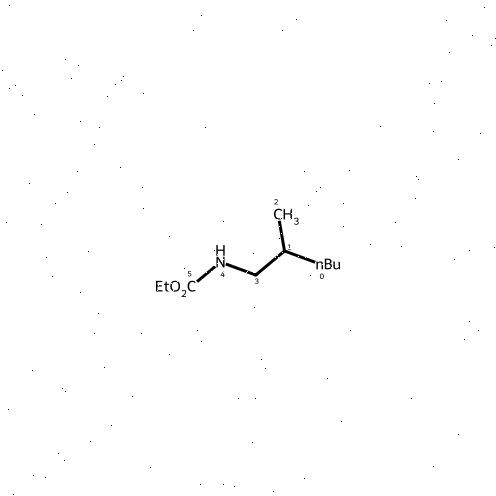 CCCCC(C)CNC(=O)OCC